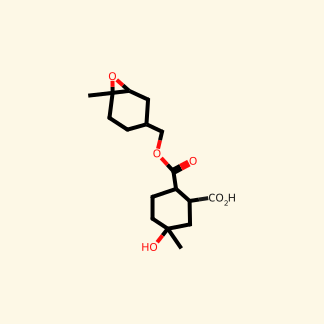 CC1(O)CCC(C(=O)OCC2CCC3(C)OC3C2)C(C(=O)O)C1